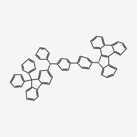 c1ccc(N(c2ccc(-c3ccc(-n4c5ccccc5c5c6ccccc6c6ccccc6c54)cc3)cc2)c2ccc3c(c2)C(c2ccccc2)(c2ccccc2)c2ccccc2-3)cc1